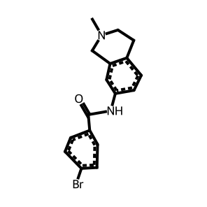 CN1CCc2ccc(NC(=O)c3ccc(Br)cc3)cc2C1